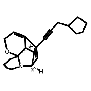 C(#CC1=C[C@@H]2C[C@@H]3C1=CCOC31CCCCN21)CC1CCCC1